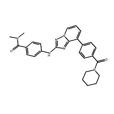 CN(C)C(=O)c1ccc(Nc2nc3c(-c4ccc(C(=O)N5CCCCC5)cc4)cccn3n2)cc1